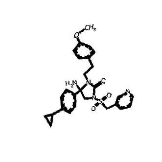 COc1ccc(CCN2C(=O)N(S(=O)(=O)Cc3cccnc3)CC2(N)c2ccc(C3CC3)cc2)cc1